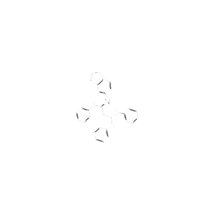 c1ccc(SC(CC(Sc2ccccc2)Sc2ccccc2)=Nc2ccc3c(c2)CCC3)cc1